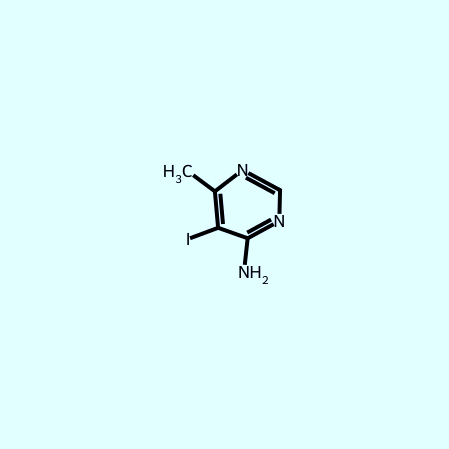 Cc1ncnc(N)c1I